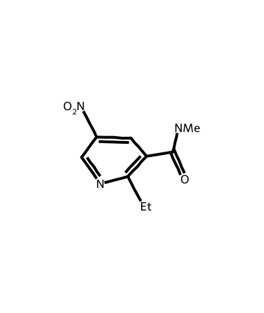 CCc1ncc([N+](=O)[O-])cc1C(=O)NC